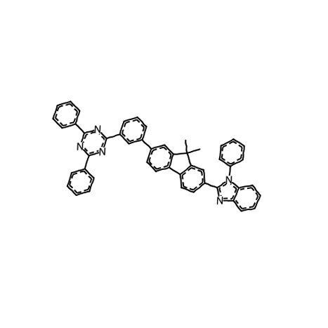 CC1(C)c2cc(-c3cccc(-c4nc(-c5ccccc5)nc(-c5ccccc5)n4)c3)ccc2-c2ccc(-c3nc4ccccc4n3-c3ccccc3)cc21